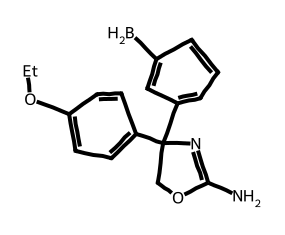 Bc1cccc(C2(c3ccc(OCC)cc3)COC(N)=N2)c1